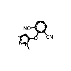 Cn1n[c]cc1Oc1c(C#N)cccc1C#N